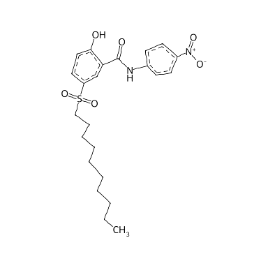 CCCCCCCCCCS(=O)(=O)c1ccc(O)c(C(=O)Nc2ccc([N+](=O)[O-])cc2)c1